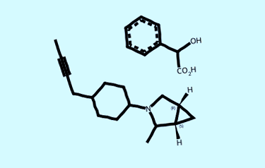 CC#CCC1CCC(N2C[C@@H]3C[C@@H]3C2C)CC1.O=C(O)C(O)c1ccccc1